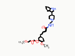 COCCOCOc1cc(/C=C/C=C/C(=O)NCCN2CCC(c3c[nH]c4ccccc34)CC2)ccc1OC